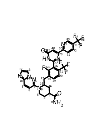 NC(=O)C1CCN(c2ccc3nccn3n2)C(Cc2ccc(C(F)(F)F)c(-c3nc(-c4ccc(C(F)(F)F)cn4)cc(=O)[nH]3)c2F)C1